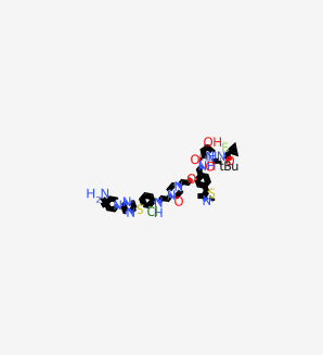 Cc1ncsc1-c1ccc(CNC(=O)[C@@H]2C[C@@H](O)CN2C(=O)[C@@H](NC(=O)C2(F)CC2)C(C)(C)C)c(OCCN2CCN(CCNc3cccc(Sc4cnc(N5CCC(C)(CN)CC5)cn4)c3Cl)C(=O)C2)c1